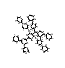 c1ccc(-c2ccc3c(c2)c2c(-c4ccccc4)ccc4c2n3-c2cc(-c3nc(-c5ccccc5)nc(-c5ccccc5)n3)cc3c2B4c2ccc(-c4ccccc4)c4c5cc(-c6ccccc6)ccc5n-3c24)cc1